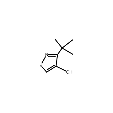 CC(C)(C)c1nscc1O